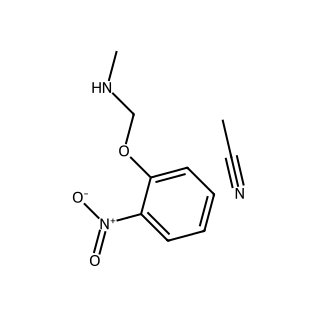 CC#N.CNCOc1ccccc1[N+](=O)[O-]